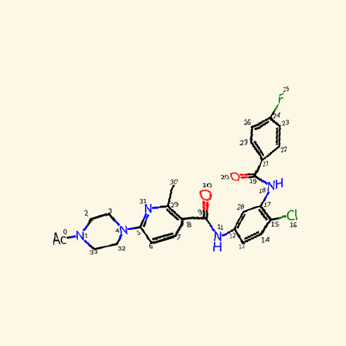 CC(=O)N1CCN(c2ccc(C(=O)Nc3ccc(Cl)c(NC(=O)c4ccc(F)cc4)c3)c(C)n2)CC1